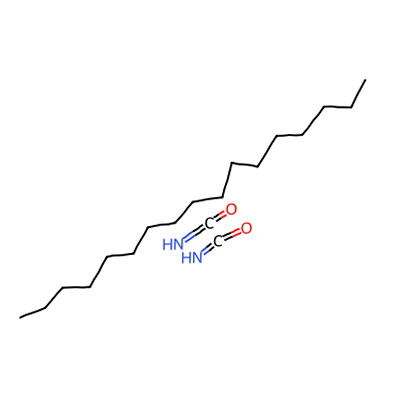 CCCCCCCCCCCCCCCCC.N=C=O.N=C=O